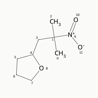 CC(C)(CC1CCCO1)[N+](=O)[O-]